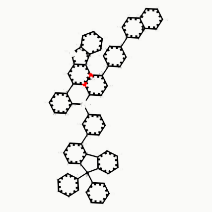 c1ccc(C2(c3ccccc3)c3ccccc3-c3c(-c4cccc(N(c5ccc(-c6ccc(-c7ccc8ccccc8c7)cc6)cc5)c5ccccc5-c5ccc6c(c5)oc5ccccc56)c4)cccc32)cc1